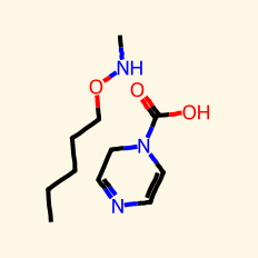 CCCCCONC.O=C(O)N1C=CN=CC1